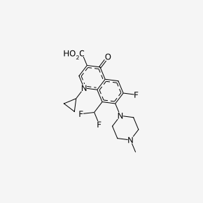 CN1CCN(c2c(F)cc3c(=O)c(C(=O)O)cn(C4CC4)c3c2C(F)F)CC1